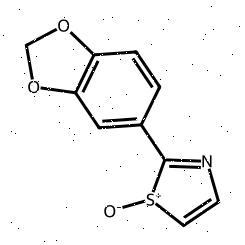 [O-][s+]1ccnc1-c1ccc2c(c1)OCO2